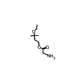 CCOC(C)(C)CCOC(=O)CN